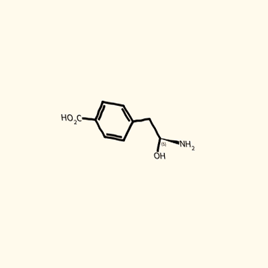 N[C@@H](O)Cc1ccc(C(=O)O)cc1